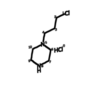 Cl.ClCCCN1CCNCC1